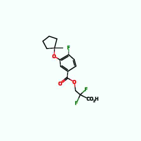 CC1(Oc2cc(C(=O)OCC(F)(F)C(=O)O)ccc2F)CCCC1